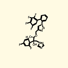 C[C@@H](OCc1cn(-c2ccccc2-c2cc(F)c(F)c(F)c2F)nn1)[C@](O)(Cn1cncn1)c1ccc(F)cc1F